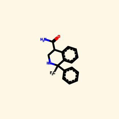 NC(=O)C1CNC(c2ccccc2)(C(F)(F)F)c2ccccc21